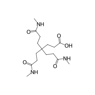 CNC(=O)CCC(CCC(=O)O)(CCC(=O)NC)CCC(=O)NC